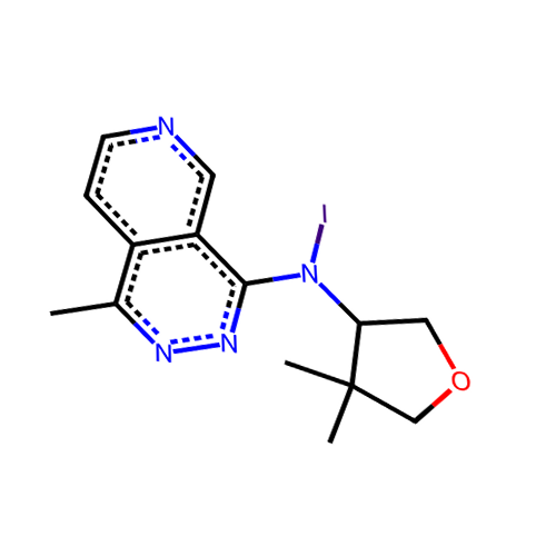 Cc1nnc(N(I)C2COCC2(C)C)c2cnccc12